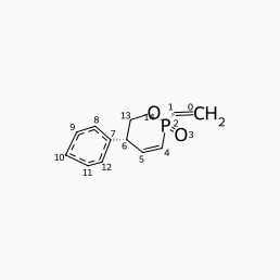 C=C[P@]1(=O)C=C[C@H](c2ccccc2)CO1